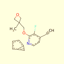 C#Cc1ccnc(OCC2(C)COC2)c1F.c1cc2cc-2c1